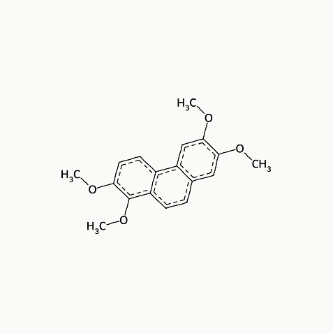 COc1cc2ccc3c(OC)c(OC)ccc3c2cc1OC